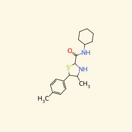 Cc1ccc(C2SC(C(=O)NC3CCCCC3)NC2C)cc1